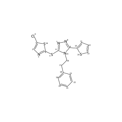 Clc1cnc(Sc2nnc(-c3cccs3)n2CCc2ccccc2)s1